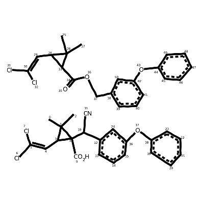 CC1(C)C(C=C(Cl)Cl)C1(C(=O)O)C(C#N)c1cccc(Oc2ccccc2)c1.CC1(C)C(C=C(Cl)Cl)C1C(=O)OCc1cccc(Oc2ccccc2)c1